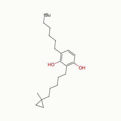 CC(C)(C)CCCCCc1ccc(O)c(CCCCCC2(C)CC2)c1O